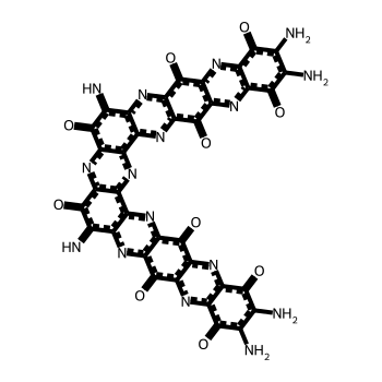 N=c1c(=O)c2nc3c(=O)c(=N)c4nc5c(=O)c6nc7c(=O)c(N)c(N)c(=O)c7nc6c(=O)c5nc4c3nc2c2nc3c(=O)c4nc5c(=O)c(N)c(N)c(=O)c5nc4c(=O)c3nc12